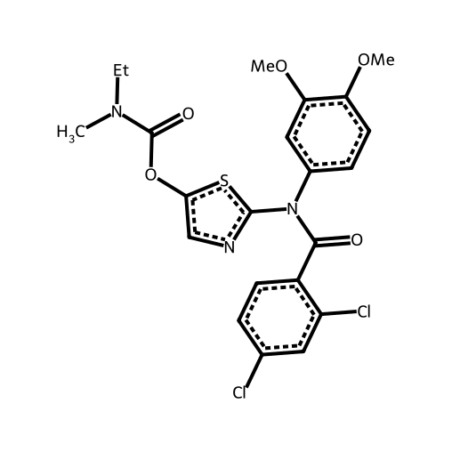 CCN(C)C(=O)Oc1cnc(N(C(=O)c2ccc(Cl)cc2Cl)c2ccc(OC)c(OC)c2)s1